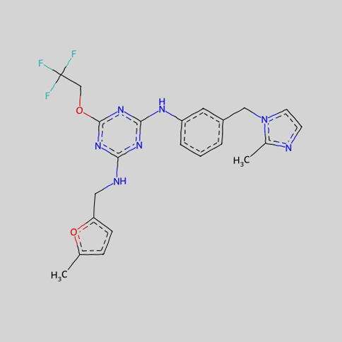 Cc1ccc(CNc2nc(Nc3cccc(Cn4ccnc4C)c3)nc(OCC(F)(F)F)n2)o1